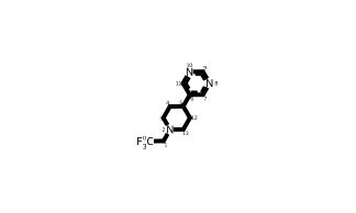 FC(F)(F)CN1CCC(c2cncnc2)CC1